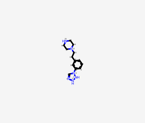 C1=NNNN1c1cccc(CCN2CCNCC2)c1